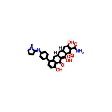 CN1CCC/C1=N\c1ccc(-c2ccc(O)c3c2C[C@H]2C[C@H]4CC(O)=C(C(N)=O)C(=O)[C@@]4(O)C(O)=C2C3=O)cc1